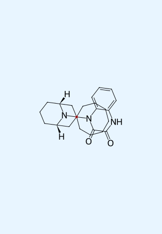 O=c1[nH]c2ccccc2n(C2C[C@H]3CCC[C@@H](C2)N3C2CCCCCCC2)c1=O